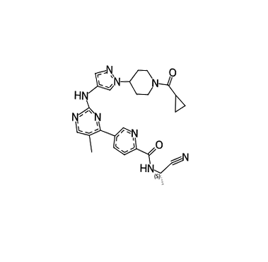 Cc1cnc(Nc2cnn(C3CCN(C(=O)C4CC4)CC3)c2)nc1-c1ccc(C(=O)N[C@@H](C)C#N)nc1